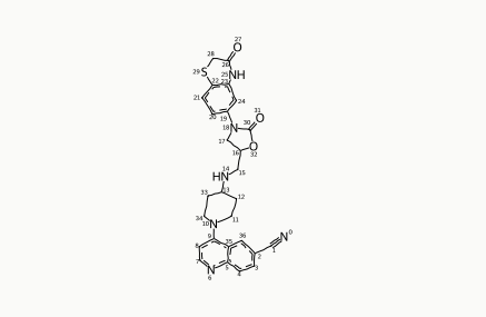 N#Cc1ccc2nccc(N3CCC(NCC4CN(c5ccc6c(c5)NC(=O)CS6)C(=O)O4)CC3)c2c1